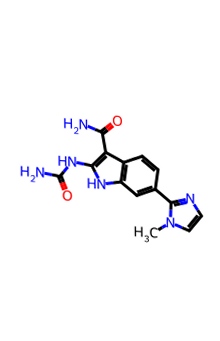 Cn1ccnc1-c1ccc2c(C(N)=O)c(NC(N)=O)[nH]c2c1